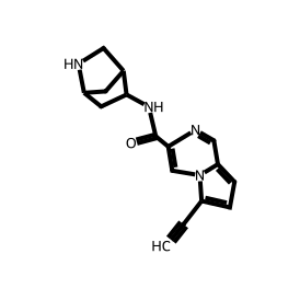 C#Cc1ccc2cnc(C(=O)NC3CC4CC3CN4)cn12